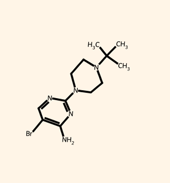 CC(C)(C)N1CCN(c2ncc(Br)c(N)n2)CC1